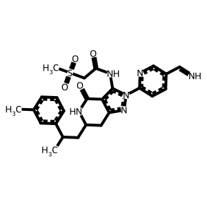 Cc1cccc(C(C)CC2Cc3nn(-c4ccc(C=N)cn4)c(NC(=O)CS(C)(=O)=O)c3C(=O)N2)c1